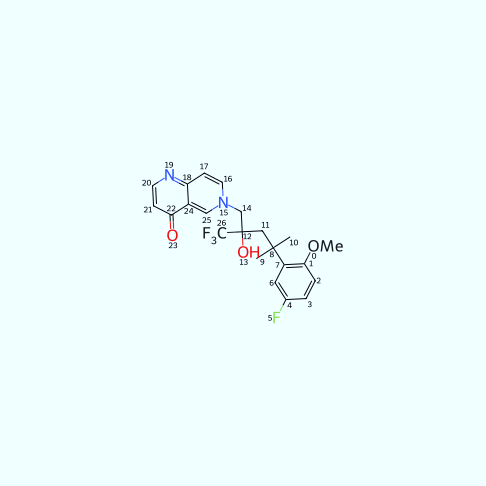 COc1ccc(F)cc1C(C)(C)CC(O)(Cn1ccc2nccc(=O)c-2c1)C(F)(F)F